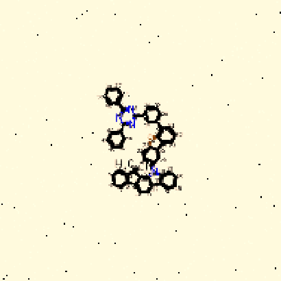 CC1(C)c2ccccc2-c2ccc3c4ccccc4n(-c4ccc5sc6c(-c7cccc(-c8nc(-c9ccccc9)nc(-c9ccccc9)n8)c7)cccc6c5c4)c3c21